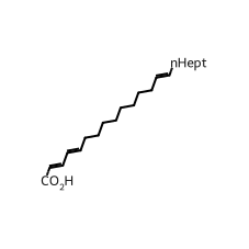 CCCCCCCC=CCCCCCCCCC=CC=CC(=O)O